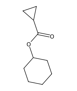 O=C(OC1CCCCC1)C1CC1